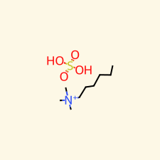 CCCCCC[N+](C)(C)C.O=S(=O)(O)O